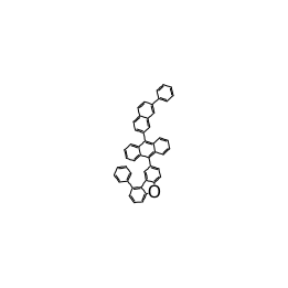 c1ccc(-c2ccc3ccc(-c4c5ccccc5c(-c5ccc6oc7cccc(-c8ccccc8)c7c6c5)c5ccccc45)cc3c2)cc1